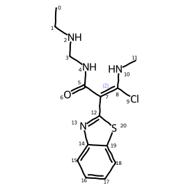 CCNCNC(=O)/C(=C(/Cl)NC)c1nc2ccccc2s1